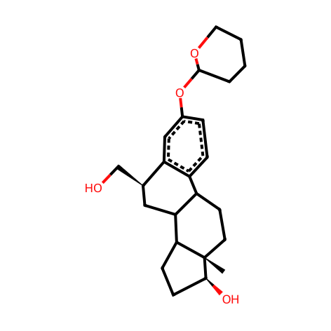 C[C@]12CCC3c4ccc(OC5CCCCO5)cc4[C@H](CO)CC3C1CC[C@@H]2O